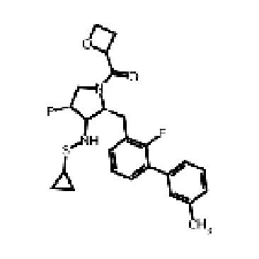 Cc1cccc(-c2cccc(C[C@H]3C(NSC4CC4)[C@@H](F)CN3C(=O)C3CCO3)c2F)c1